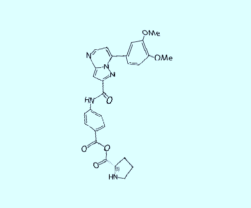 COc1ccc(-c2ccnc3cc(C(=O)Nc4ccc(C(=O)OC(=O)[C@@H]5CCCN5)cc4)nn23)cc1OC